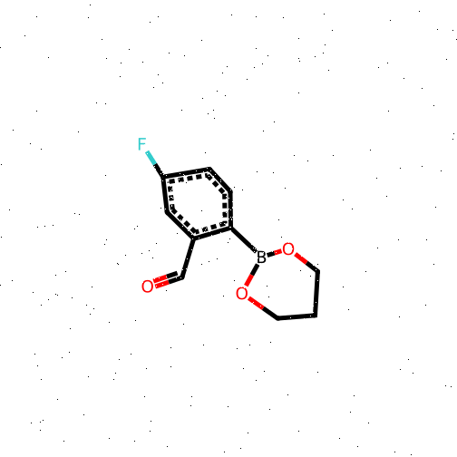 O=Cc1cc(F)ccc1B1OCCCO1